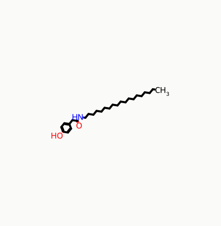 CCCCCCCCCCCCCCCCCCCNC(=O)Cc1ccc(O)cc1